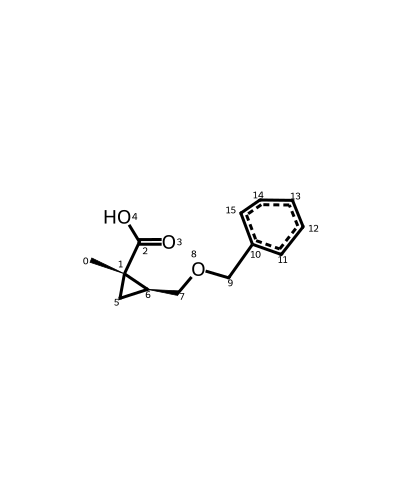 C[C@]1(C(=O)O)C[C@@H]1COCc1ccccc1